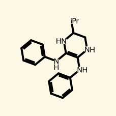 CC(C)C1CNC(Nc2ccccc2)=C(Nc2ccccc2)N1